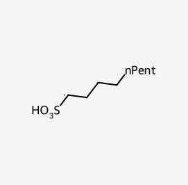 CCCCCCCC[CH]S(=O)(=O)O